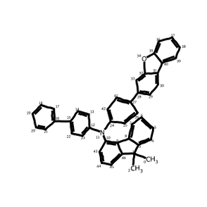 CC1(C)c2ccccc2-c2c(N(c3ccc(-c4ccccc4)cc3)c3ccc(-c4ccc5c(c4)oc4ccccc45)cc3)cccc21